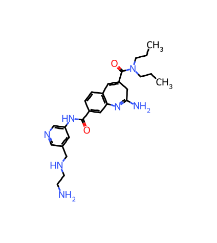 CCCN(CCC)C(=O)C1=Cc2ccc(C(=O)Nc3cncc(CNCCN)c3)cc2N=C(N)C1